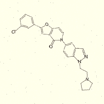 O=c1c2cc(-c3cccc(Cl)c3)oc2ccn1-c1ccc2c(cnn2CCN2CCCC2)c1